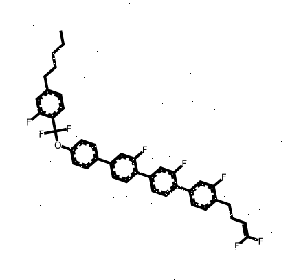 CCCCCc1ccc(C(F)(F)Oc2ccc(-c3ccc(-c4ccc(-c5ccc(CCC=C(F)F)c(F)c5)c(F)c4)c(F)c3)cc2)c(F)c1